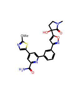 COc1ncc(-c2cc(C(N)=O)nc(-c3cccc(-c4cc(C5(O)CCN(C)C5=O)on4)c3)c2)s1